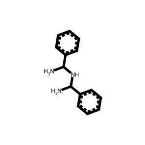 NC(NC(N)c1ccccc1)c1ccccc1